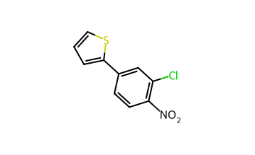 O=[N+]([O-])c1ccc(-c2cccs2)cc1Cl